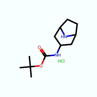 CC(C)(C)OC(=O)NC1CC2CCC(C1)N2.Cl